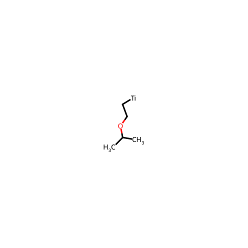 CC(C)OC[CH2][Ti]